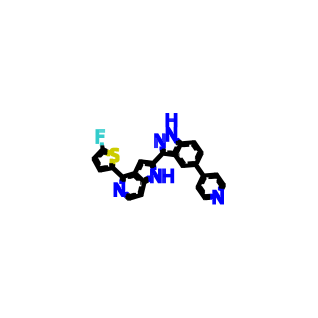 Fc1ccc(-c2nccc3[nH]c(-c4n[nH]c5ccc(-c6ccncc6)cc45)cc23)s1